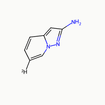 [2H]c1ccc2cc(N)nn2c1